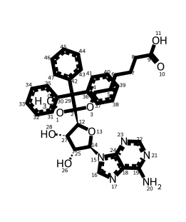 COC(OCCCCCC(=O)O)([C@H]1O[C@@H](n2cnc3c(N)ncnc32)[C@H](O)[C@@H]1O)C(c1ccccc1)(c1ccccc1)c1ccccc1